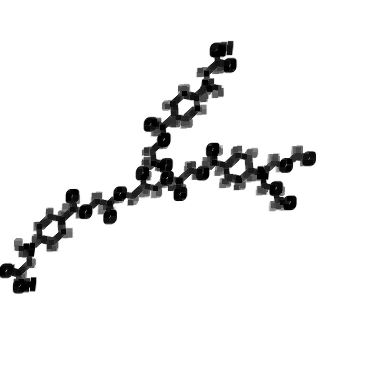 CN(CC(=O)O)c1ccc(C(=O)OCC(=O)OCC(COC(=O)COC(=O)c2ccc(N(COC=O)COC=O)cc2)OC(=O)COC(=O)c2ccc(N(C)CC(=O)O)cc2)cc1